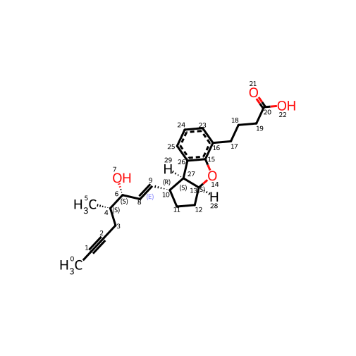 CC#CC[C@H](C)[C@H](O)/C=C/[C@H]1CC[C@@H]2Oc3c(CCCC(=O)O)cccc3[C@@H]21